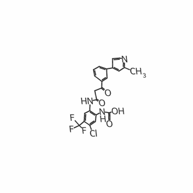 Cc1cc(-c2cccc(C(=O)CC(=O)Nc3cc(C(F)(F)F)c(Cl)cc3NC(=O)O)c2)ccn1